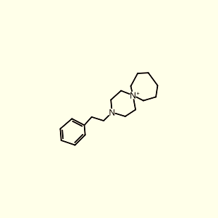 c1ccc(CCN2CC[N+]3(CCCCCC3)CC2)cc1